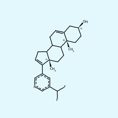 C[C@]12CC[C@H](O)CC1=CCC1C2CC[C@]2(C)C(c3cncc(C(F)F)c3)=CCC12